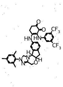 Cc1cc(C)c(N2CN3C(=N2)CO[C@H]2Cc4ccc(NC5=C(Nc6cc(C(F)(F)F)cc(C(F)(F)F)c6)C(=O)C(=O)CC5)cc4[C@H]23)c(C)c1